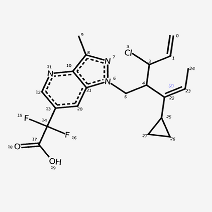 C=CC(Cl)C(Cn1nc(C)c2ncc(C(F)(F)C(=O)O)cc21)/C(=C\C)C1CC1